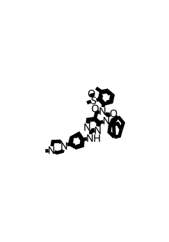 Cc1cccc(N2Cc3cnc(Nc4ccc(N5CCN(C)CC5)cc4)nc3N(C34CC5CC(CC(C5)C3)C4)C2=O)c1S(C)(=O)=O